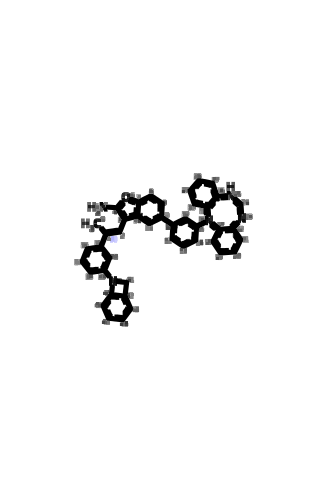 C/C(=C\c1c(N)oc2ccc(-c3cccc(-n4c5ccccc5nc[nH]c5ccccc54)c3)cc12)c1cccc(N2Cc3ccccc32)c1